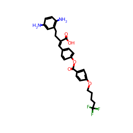 Nc1ccc(N)c(CCC(=Cc2ccc(OC(=O)c3ccc(OCCCCC(F)(F)F)cc3)cc2)C(=O)O)c1